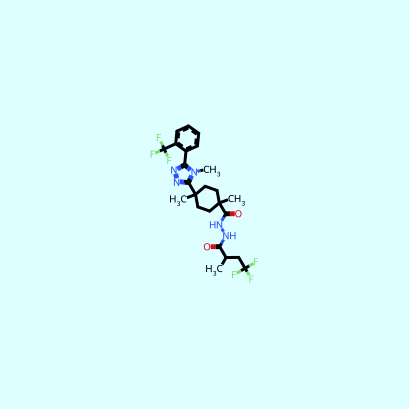 CC(CC(F)(F)F)C(=O)NNC(=O)C1(C)CCC(C)(c2nnc(-c3ccccc3C(F)(F)F)n2C)CC1